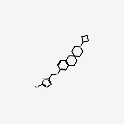 CCc1nnc(COc2ccc3c(c2)CCC2(CCN(C4CCC4)CC2)O3)o1